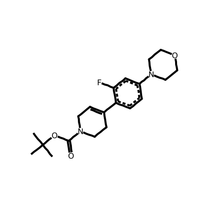 CC(C)(C)OC(=O)N1CC=C(c2ccc(N3CCOCC3)cc2F)CC1